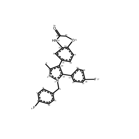 Cc1nn(Cc2ccc(F)cc2)c(-c2ccc(F)cc2)c1-c1ccc2c(c1)NC(=O)CO2